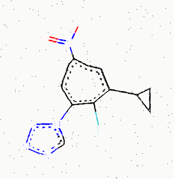 O=[N+]([O-])c1cc(C2CC2)c(F)c(-n2cnnn2)c1